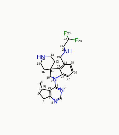 C[C@@H]1CCc2ncnc(N3CC4(CCNCC4)c4c(CNCC(F)F)cccc43)c21